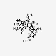 NCC[C@H](O)C(=O)N[C@@H]1C[C@H](N)C(O[C@H]2O[C@H](CNCCO)CCC2N)C(O)C1O[C@H]1OC(CO)C(O)[C@H](N)C1O